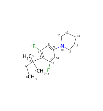 CCC(C)(C)c1c(F)cc(N2CCCCC2)cc1F